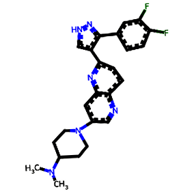 CN(C)C1CCN(c2cnc3ccc(-c4c[nH]nc4-c4ccc(F)c(F)c4)nc3c2)CC1